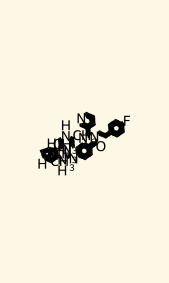 C[C@H]1CN(C(=Nc2ccc3c(=O)n(CCc4ccc(F)cc4)c(-c4cccnc4)nc3c2)NC2C[C@@H]3C[C@@H]([C@H]2C)C3(C)C)CCN1